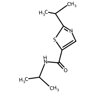 CC(C)NC(=O)c1cnc(C(C)C)s1